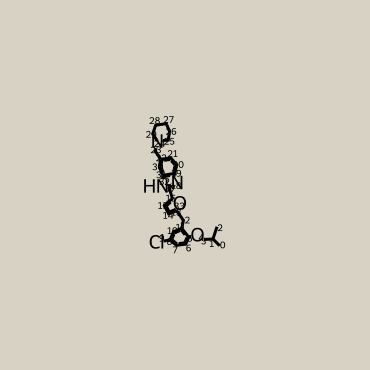 CC(C)COc1ccc(Cl)cc1Cc1ccc(-c2nc3ccc(CN4CCCCC4)cc3[nH]2)o1